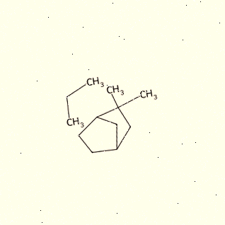 CC1(C)CC2CCC1C2.CCC